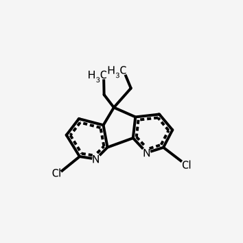 CCC1(CC)c2ccc(Cl)nc2-c2nc(Cl)ccc21